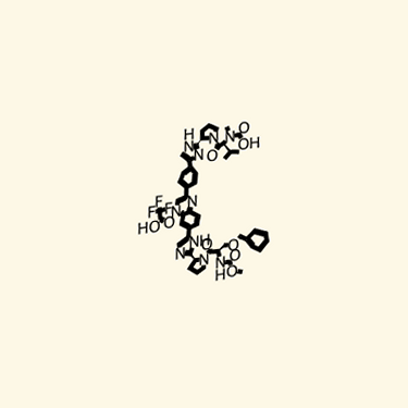 COC(=O)N[C@H](COCc1ccccc1)C(=O)N1CCC[C@H]1c1ncc(-c2ccc3nc(-c4ccc(-c5c[nH]c([C@@H]6CCCN6C(=O)[C@H](C(C)C)N(C)C(=O)O)n5)cc4)cnc3c2)[nH]1.O=C(O)C(F)(F)F